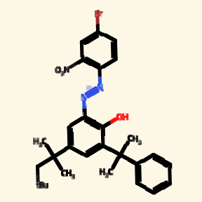 CC(C)(C)CC(C)(C)c1cc(/N=N/c2ccc(Br)cc2[N+](=O)[O-])c(O)c(C(C)(C)c2ccccc2)c1